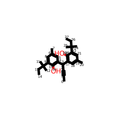 CC#CC(c1cc(C)cc(C(C)(C)CC)c1O)c1cc(C)cc(C(C)(C)CC)c1O